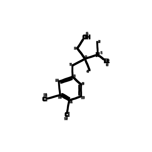 CCN(C)C(C)(CO)Cc1ccc(Cl)c(Cl)c1